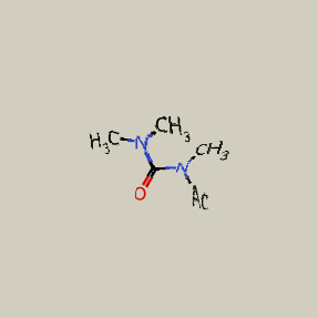 CC(=O)N(C)C(=O)N(C)C